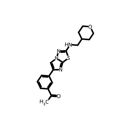 CC(=O)c1cccc(-c2cn3nc(NCC4CCOCC4)sc3n2)c1